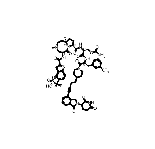 CN1CC[C@H]2CC[C@@H](C(=O)N[C@@H](COC(N)=O)C(=O)N[C@@H](Cc3cccc(C(F)(F)F)c3)C(=O)N3CCC(CCC#Cc4cccc5c4CN(C4CCC(=O)NC4=O)C5=O)CC3)N2C(=O)[C@@H](NC(=O)c2cc3cc(C(F)(F)P(=O)(O)O)ccc3s2)C1